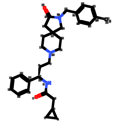 O=C(CC1CC1)N[C@@H](CCN1CCC2(CC1)CC(=O)N(Cc1ccc(C(F)(F)F)cc1)C2)c1ccccc1